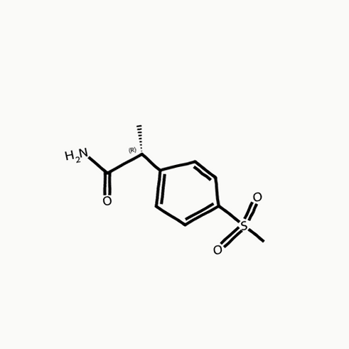 C[C@@H](C(N)=O)c1ccc(S(C)(=O)=O)cc1